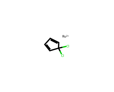 ClC1(Cl)C=CC=C1.[Ru+2]